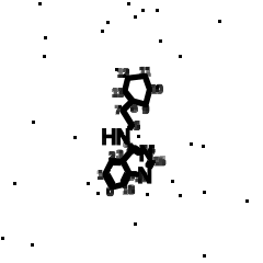 c1ccc2c(NCCC3CCCCC3)ncnc2c1